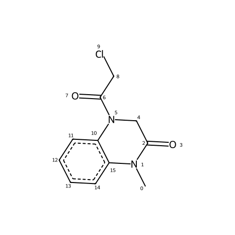 CN1C(=O)CN(C(=O)CCl)c2ccccc21